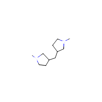 CN1CCC(CC2CCN(C)C2)C1